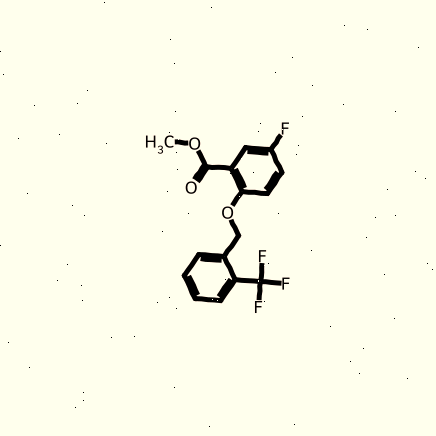 COC(=O)c1cc(F)ccc1OCc1ccccc1C(F)(F)F